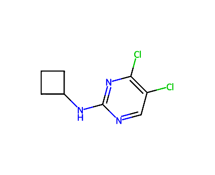 Clc1cnc(NC2CCC2)nc1Cl